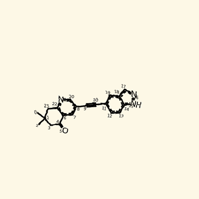 CC1(C)CC(=O)c2cc(C#Cc3ccc4[nH]ncc4c3)cnc2C1